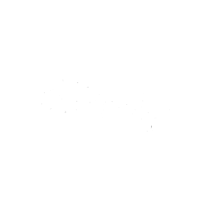 CCC(CO)(CO)C(=O)OCCCC(=O)OCc1ccc2ccc3cccc4ccc1c2c34